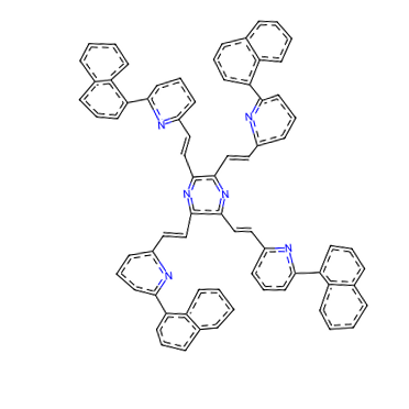 C(=Cc1nc(C=Cc2cccc(-c3cccc4ccccc34)n2)c(C=Cc2cccc(-c3cccc4ccccc34)n2)nc1C=Cc1cccc(-c2cccc3ccccc23)n1)c1cccc(-c2cccc3ccccc23)n1